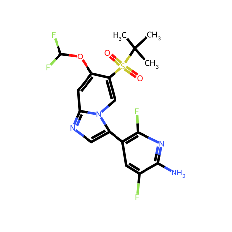 CC(C)(C)S(=O)(=O)c1cn2c(-c3cc(F)c(N)nc3F)cnc2cc1OC(F)F